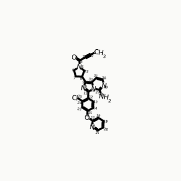 CC#CC(=O)N1CCC(c2nc(-c3ccc(Oc4ccccn4)cc3Cl)n3c(N)nccc23)C1